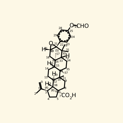 C=C(C)[C@@H]1CC[C@]2(C(=O)O)CC[C@]3(C)[C@H](CC[C@@H]4[C@@]5(C)C[C@@H]6O[C@]6(c6ccc(OC=O)cc6)C(C)(C)[C@@H]5CC[C@]43C)[C@@H]12